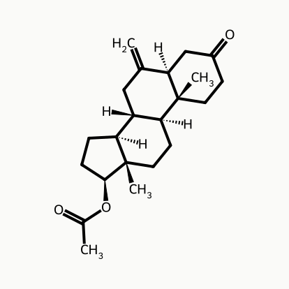 C=C1C[C@@H]2[C@H](CC[C@]3(C)[C@@H](OC(C)=O)CC[C@@H]23)[C@@]2(C)CCC(=O)C[C@H]12